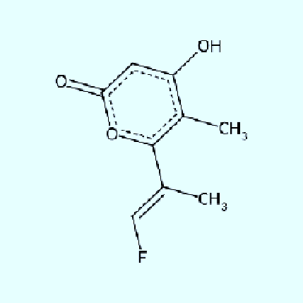 C/C(=C\F)c1oc(=O)cc(O)c1C